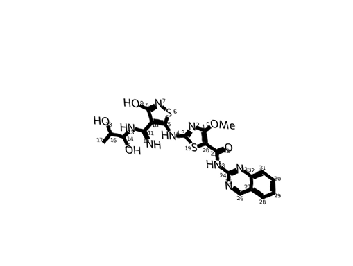 COc1nc(Nc2snc(O)c2C(=N)NC(O)C(C)O)sc1C(=O)Nc1ncc2ccccc2n1